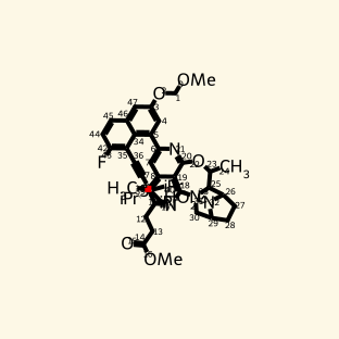 COCOc1cc(-c2cc3c(C)c(CCC(=O)OC)nc4c3c(n2)OC(C)C2C3CCC(CN42)N3C(=O)O)c2c(C#C[Si](C(C)C)(C(C)C)C(C)C)c(F)ccc2c1